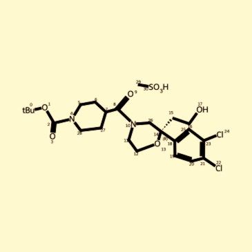 CC(C)(C)OC(=O)N1CCC(C(=O)N2CCO[C@](CCO)(c3ccc(Cl)c(Cl)c3)C2)CC1.CS(=O)(=O)O